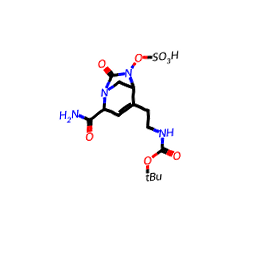 CC(C)(C)OC(=O)NCCC1=CC(C(N)=O)N2CC1N(OS(=O)(=O)O)C2=O